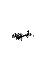 CCC(C)(CC(C)(C)C(=O)NNC(=O)CCCCC(=O)NN)C(=O)OC